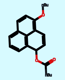 CCCCOc1ccc2cccc3c2c1C=CC3OC(=O)CCCC